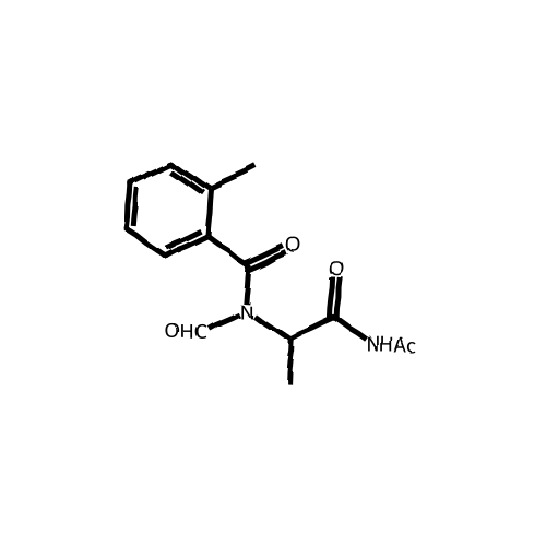 CC(=O)NC(=O)C(C)N(C=O)C(=O)c1ccccc1C